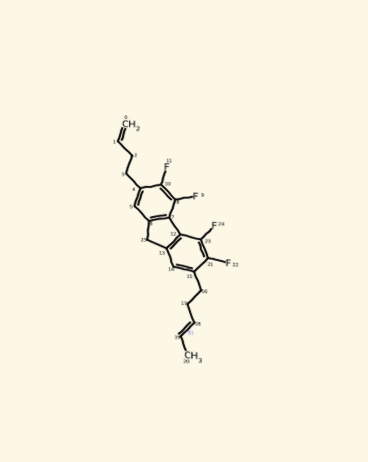 C=CCCc1cc2c(c(F)c1F)-c1c(cc(CC/C=C/C)c(F)c1F)C2